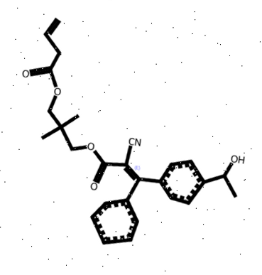 C=CCC(=O)OCC(C)(C)COC(=O)/C(C#N)=C(\c1ccccc1)c1ccc(C(C)O)cc1